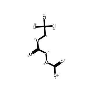 O=C(O)OSC(=O)OCC(Cl)(Cl)Cl